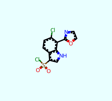 O=S(=O)(Cl)c1c[nH]c2c(-c3ncco3)c(Cl)ccc12